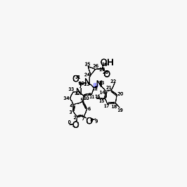 COc1cc2c(cc1OC)-c1c/c(=N\c3c(C)cc(C)cc3C)n(C3CC3C(=O)O)c(=O)n1CC2